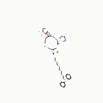 CC[C@H]1OC(=O)[C@H](C)[C@@H](O[C@H]2C[C@@](C)(OC)[C@@H](O)[C@H](C)O2)[C@H](C)[C@@H](O[C@@H]2O[C@H](C)C[C@H](N(C)C)[C@H]2O)[C@](C)(O)C[C@@H](C)CN(C)[C@H](C)[C@@H](OC(=O)NCCCCCCCCCC[P+](C)(c2ccccc2)c2ccccc2)[C@]1(C)O.[Br-]